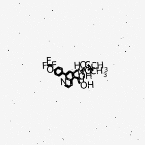 CC(C)(C)OC(=O)NCc1cc(-c2ccc(OC(F)(F)F)cc2)c2ncccc2c1C(O)CO